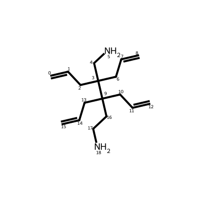 C=CCC(CN)(CC=C)C(CC=C)(CC=C)CCN